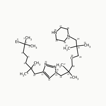 CCC(C)(C)CCCC(C)(C)Cc1cn(CC(C)(C)COCC(C)(C)CN2CCNCC2)nn1